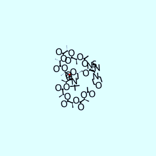 CC(=O)O[C@@H](C)C(=O)O[C@@H](C)C(=O)O[C@@H](C)C(=O)O[C@@H](C)C(=O)O[C@H](COc1nsnc1N1CCOCC1)CN(C(=O)[C@H](C)OC(=O)[C@H](C)OC(=O)[C@H](C)OC(=O)[C@H](C)OC(C)=O)C(C)(C)C